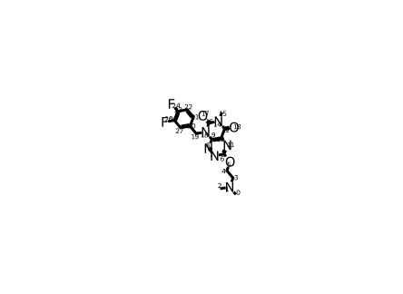 CN(C)CCOc1nnc2c(n1)c(=O)n(C)c(=O)n2Cc1ccc(F)c(F)c1